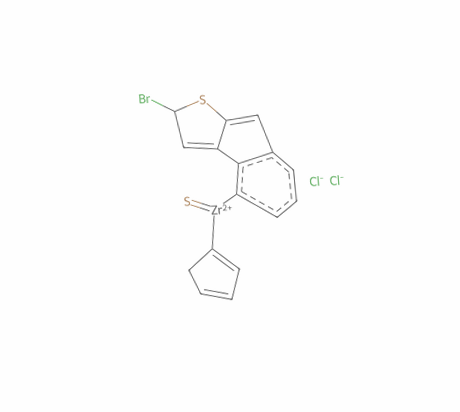 [Cl-].[Cl-].[S]=[Zr+2]([C]1=CC=CC1)[c]1cccc2c1C1=CC(Br)SC1=C2